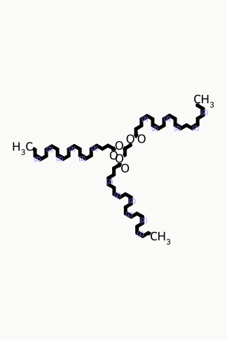 CC/C=C\C/C=C\C/C=C\C/C=C\C/C=C\C/C=C\CCC(=O)OCC(COC(=O)CC/C=C\C/C=C\C/C=C\C/C=C\C/C=C\C/C=C\CC)OC(=O)CC/C=C\C/C=C\C/C=C\C/C=C\C/C=C\C/C=C\CC